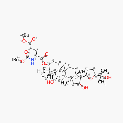 CC(C)(C)OC(=O)CC[C@H](NC(=O)OC(C)(C)C)C(=O)O[C@H]1CC[C@]23CC24CC[C@]2(C)[C@@H](C5CC[C@@H](C(C)(C)O)O5)[C@@H](O)C[C@@]2(C)C4C[C@H](O)[C@H]3C1(C)C